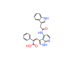 O=C(Cc1c[nH]c2ccccc12)Nc1ccnc2[nH]cc(C=C(C(=O)O)c3ccccc3)c12